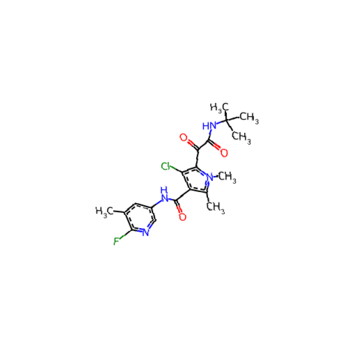 Cc1cc(NC(=O)c2c(Cl)c(C(=O)C(=O)NC(C)(C)C)n(C)c2C)cnc1F